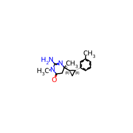 Cc1cccc([C@@H]2C[C@H]2[C@]2(C)CC(=O)N(C)C(N)=N2)c1